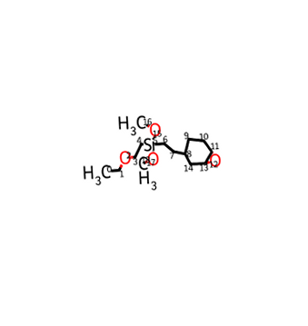 CCOCC[Si](CCC1CCC2OC2C1)(OC)OC